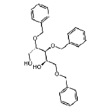 OC[C@H](OCc1ccccc1)[C@@H](OCc1ccccc1)[C@H](O)COCc1ccccc1